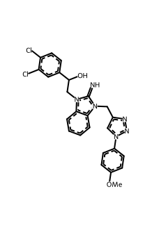 COc1ccc(-n2cc(Cn3c(=N)n(CC(O)c4ccc(Cl)c(Cl)c4)c4ccccc43)nn2)cc1